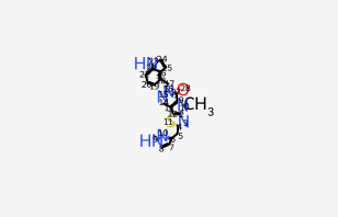 Cn1c2nc(Cc3cc[nH]n3)sc2c2cnn(Cc3cccc4[nH]ccc34)c(=O)c21